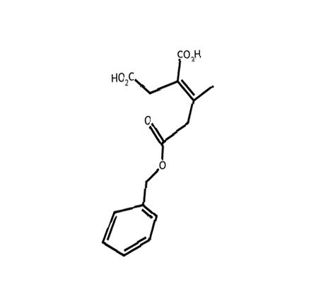 CC(CC(=O)OCc1ccccc1)=C(CC(=O)O)C(=O)O